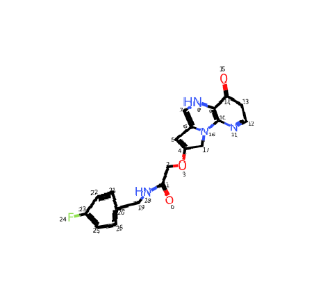 O=C(COC1=CC2=CNC3=C(N=CCC3=O)N2C1)NCc1ccc(F)cc1